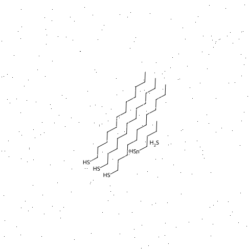 CCCCCCCCCCCCS.CCCCCCCCCCCCS.CCCCCCCCCCCCS.CCC[CH2][SnH].S